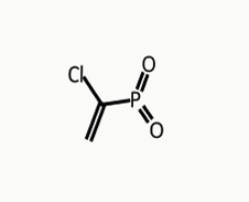 C=C(Cl)P(=O)=O